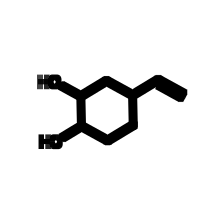 C=CC1CCC(O)C(O)C1